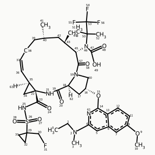 CCN(C)c1cc2cc(OC)ccc2c(O[C@@H]2C[C@H]3C(=O)N[C@]4(C(=O)NS(=O)(=O)C5(CF)CC5)C[C@H]4/C=C\CC[C@H](C)C[C@@H](C)[C@H](N(C(=O)O)C(C)(C)C(F)(F)F)C(=O)N3C2)n1